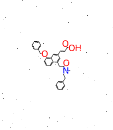 CN(CCc1ccccc1)C(=O)Cc1cc(C=CC(=O)O)cc2c(OCc3ccccc3)cccc12